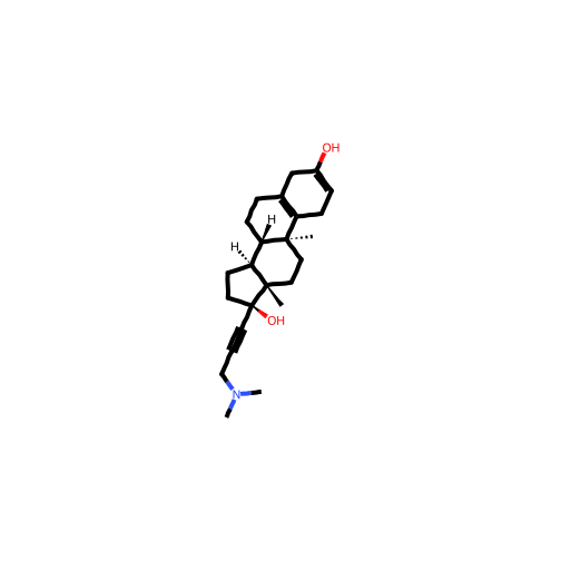 CN(C)CC#C[C@]1(O)CC[C@H]2[C@@H]3CCC4=C(CC=C(O)C4)[C@@]3(C)CC[C@@]21C